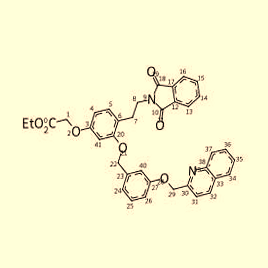 CCOC(=O)COc1ccc(CCN2C(=O)c3ccccc3C2=O)c(OCc2cccc(OCc3ccc4ccccc4n3)c2)c1